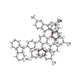 N#Cc1ccc2c(c1)c1cc(C#N)ccc1n2-c1nc(-c2ccc(-n3c4ccccc4c4ccccc43)cc2)c(-n2c3ccc(C#N)cc3c3cc(C#N)ccc32)c(-c2c(-c3ccccc3)cccc2-c2ccccc2)c1-n1c2ccc(C#N)cc2c2cc(C#N)ccc21